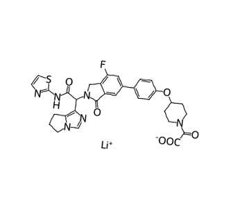 O=C([O-])C(=O)N1CCC(Oc2ccc(-c3cc(F)c4c(c3)C(=O)N(C(C(=O)Nc3nccs3)c3ncn5c3CCC5)C4)cc2)CC1.[Li+]